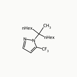 CCCCCCC(C)(CCCCCC)n1nccc1C(F)(F)F